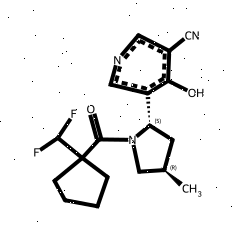 C[C@@H]1C[C@@H](c2cncc(C#N)c2O)N(C(=O)C2(C(F)F)CCCC2)C1